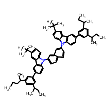 CCCC(C)c1cc(-c2ccc3c(c2)c2cc(C(C)(C)C)ccc2n3-c2ccc3ccc(-n4c5ccc(-c6cc(C(C)CC)cc(C(C)CC)c6)cc5c5cc(C(C)(C)C)ccc54)cc3c2)cc(C(C)CC)c1